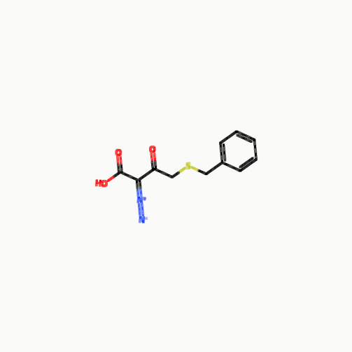 [N-]=[N+]=C(C(=O)O)C(=O)CSCc1ccccc1